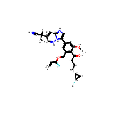 C=CC(F)OCc1cc(-c2cnc3cc(C(C)(C)C#N)cnn23)cc(OC)c1C(=O)CCC[C@@H]1C[C@@H]1F